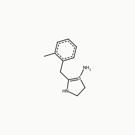 Cc1ccccc1CC1=S(N)CCN1